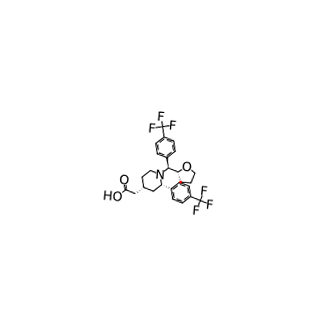 O=C(O)C[C@@H]1CCN([C@@H](c2ccc(C(F)(F)F)cc2)[C@H]2CCCO2)[C@H](c2ccc(C(F)(F)F)cc2)C1